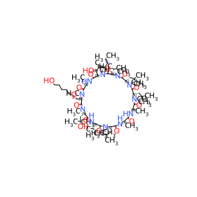 C/C=C/C[C@@H](C)[C@@H](O)[C@H]1C(=O)N[C@@H](CC)C(=O)N(C)[C@H](COCCCCCO)C(=O)N(C)[C@@H](CC(C)(C)O)C(=O)N[C@@H](C(C)C)C(=O)N(C)[C@@H](CC(C)C)C(=O)N[C@@H](C)C(=O)N[C@H](C)C(=O)N(C)[C@@H](CC(C)C)C(=O)N(C)[C@@H](CC(C)C)C(=O)N(C)[C@@H](C(C)C)C(=O)N1C